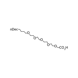 CCCCCCCCCCCCCCOCCOCCOCCOCCOCC(=O)O